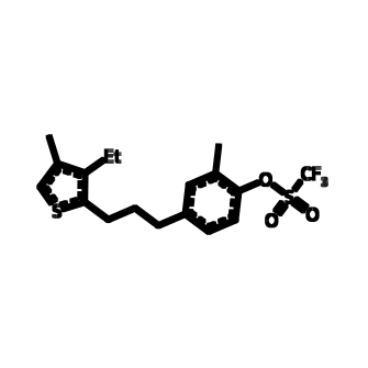 CCc1c(C)csc1CCCc1ccc(OS(=O)(=O)C(F)(F)F)c(C)c1